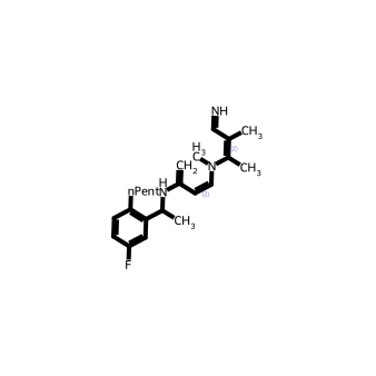 C=C(/C=C\N(C)/C(C)=C(/C)C=N)NC(C)c1cc(F)ccc1CCCCC